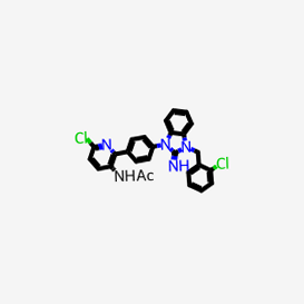 CC(=O)Nc1ccc(Cl)nc1-c1ccc(-n2c(=N)n(Cc3ccccc3Cl)c3ccccc32)cc1